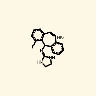 Br.Fc1cccc2c1C(N=C1NCCN1)c1ccccc1C=C2